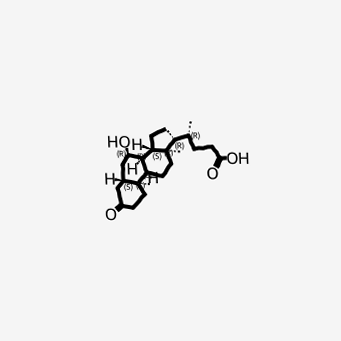 C[C@H](CCC(=O)O)[C@H]1CC[C@H]2[C@@H]3[C@H](O)C[C@H]4CC(=O)CC[C@]4(C)[C@H]3CC[C@]12C